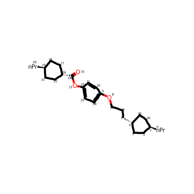 CCC[C@H]1CC[C@H](CCCOc2ccc(OC(=O)[C@H]3CC[C@H](CCC)CC3)cc2)CC1